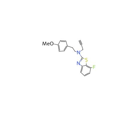 C#CCN(CCc1ccc(OC)cc1)c1nc2cccc(F)c2s1